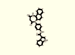 O=C1CC(=O)N(c2ccc(NC(=O)c3c[nH]c4ccccc34)cc2)c2ccc3ccccc3c2N1